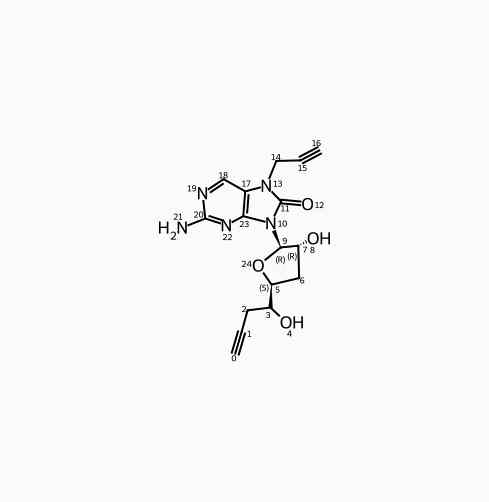 C#CCC(O)[C@@H]1C[C@@H](O)[C@H](n2c(=O)n(CC#C)c3cnc(N)nc32)O1